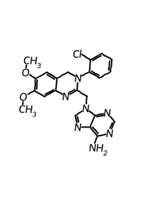 COc1cc2c(cc1OC)N=C(Cn1cnc3c(N)ncnc31)N(c1ccccc1Cl)C2